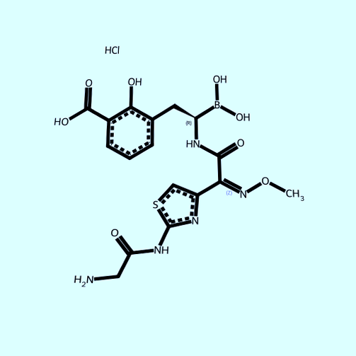 CO/N=C(\C(=O)N[C@@H](Cc1cccc(C(=O)O)c1O)B(O)O)c1csc(NC(=O)CN)n1.Cl